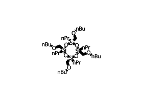 CCCCOC[Si]1(CCC)O[Si](CCC)(COCCCC)O[Si](CCC)(COCCCC)O[Si](CCC)(COCCCC)O1